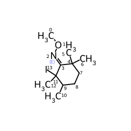 CO/N=C1\C(C)(C)CCC(C)C1(C)I